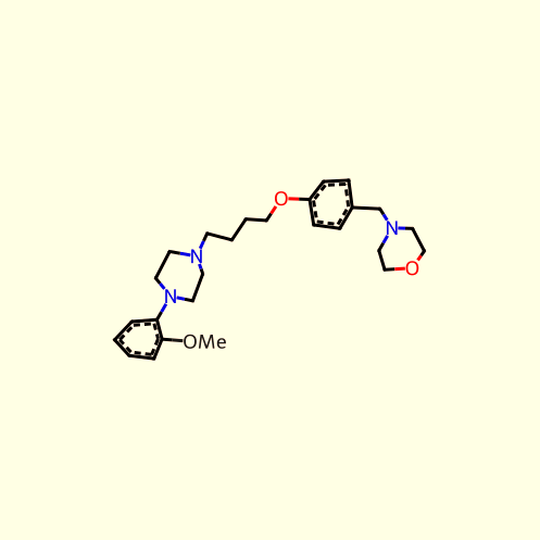 COc1ccccc1N1CCN(CCCCOc2ccc(CN3CCOCC3)cc2)CC1